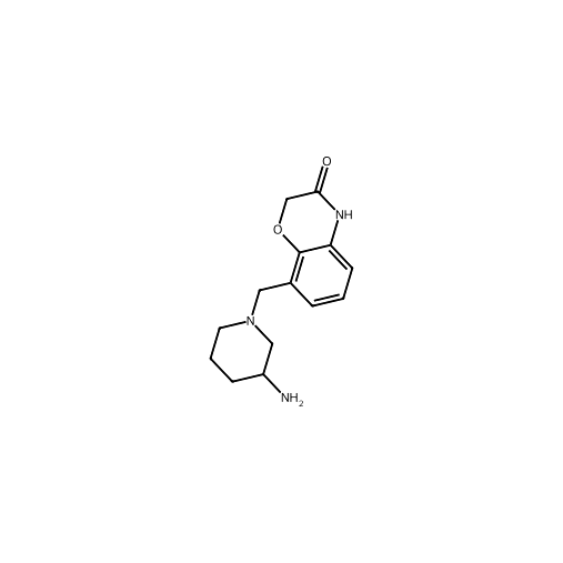 NC1CCCN(Cc2cccc3c2OCC(=O)N3)C1